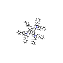 N#Cc1ccc(-c2ccc(C(c3ccc(-n4c5ccc(-c6ccccc6)cc5c5cc(-c6ccccc6)ccc54)cc3)(c3ccc(-n4c5ccc(-c6ccccc6)cc5c5cc(-c6ccccc6)ccc54)cc3)c3ccc(-n4c5ccc(-c6ccccc6)cc5c5cc(-c6ccccc6)ccc54)cc3)cc2)cc1